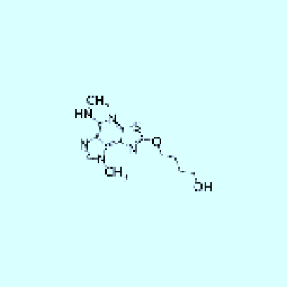 CNc1nc2sc(OCCCCO)nc2c2c1ncn2C